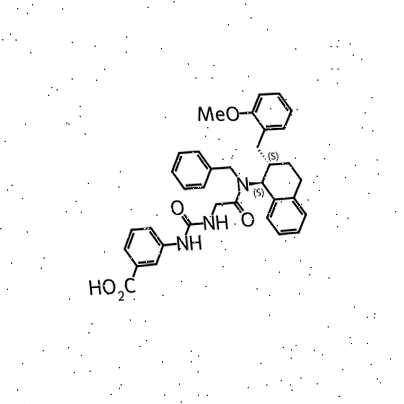 COc1ccccc1C[C@@H]1CCc2ccccc2[C@H]1N(Cc1ccccc1)C(=O)CNC(=O)Nc1cccc(C(=O)O)c1